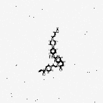 C=CC(=O)N1CCN(CCn2c(=O)ccc3cnc(Nc4ccc(N5CCN(CCCOC)CC5)cc4)nc32)CC1